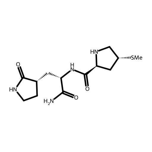 CS[C@H]1CN[C@H](C(=O)N[C@@H](C[C@@H]2CCNC2=O)C(N)=O)C1